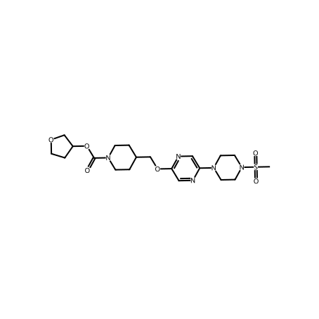 CS(=O)(=O)N1CCN(c2cnc(OCC3CCN(C(=O)OC4CCOC4)CC3)cn2)CC1